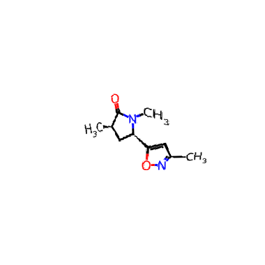 Cc1cc([C@H]2C[C@@H](C)C(=O)N2C)on1